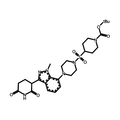 Cn1nc(C2CCC(=O)NC2=O)c2cccc(N3CCN(S(=O)(=O)C4CCN(C(=O)OC(C)(C)C)CC4)CC3)c21